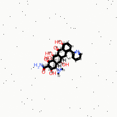 C[C@H]1c2c(-c3ccccn3)ccc(O)c2C(=O)C2=C(O)[C@]3(O)C(=O)C(C(N)=O)=C(O)[C@@H](N(C)C)[C@@H]3[C@@H](O)[C@@H]21